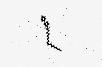 CCCCCCCC/C=C\CCCCCCCC(=O)Oc1ccc(-c2ccccc2)cc1